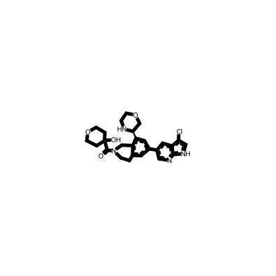 O=C(N1CCc2cc(-c3cnc4[nH]cc(Cl)c4c3)cc([C@@H]3COCCN3)c2C1)C1(O)CCOCC1